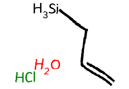 C=CC[SiH3].Cl.O